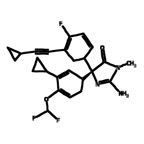 CN1C(=O)[C@@](C2C=C(C3CC3)C(OC(F)F)=CC2)(C2C=CC(F)=C(C#CC3CC3)C2)N=C1N